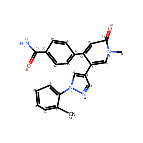 Cn1cc(-c2cnn(-c3ccccc3C#N)c2)c(-c2ccc(C(N)=O)cc2)cc1=O